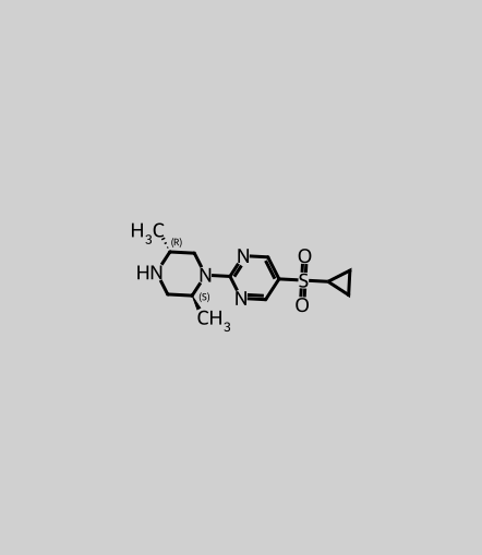 C[C@@H]1CN(c2ncc(S(=O)(=O)C3CC3)cn2)[C@@H](C)CN1